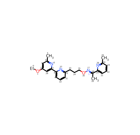 CCOc1cc(C)nc(-c2cccc(CCCO/N=C(\C)c3cccc(C)n3)n2)c1